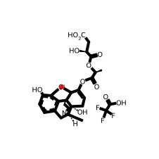 C[C@H](OC(=O)[C@@H](O)CC(=O)O)C(=O)OC1=CC[C@@]2(O)[C@H]3Cc4ccc(O)c5c4[C@@]2(CCN3C)[C@H]1O5.O=C(O)C(F)(F)F